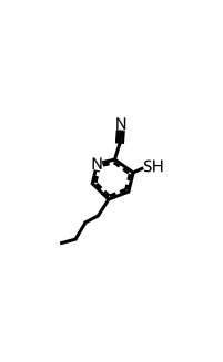 CCCCc1cnc(C#N)c(S)c1